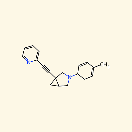 CC1=CCC(N2CC3CC3(C#Cc3ccccn3)C2)C=C1